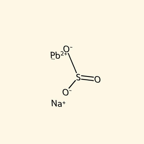 O=S([O-])[O-].[Na+].[Pb+2]